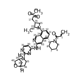 C=CC(=O)N1CCCC[C@@H]1c1ccc(N2C[C@H](CS(C)(=O)=O)[C@H]2C)c2cnc(Nc3ccnc(N4CC[C@@H]5C[C@H]4CO5)n3)cc12